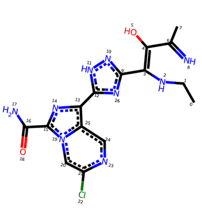 CCN/C(=C(/O)C(C)=N)c1n[nH]c(-c2nc(C(N)=O)n3cc(Cl)ncc23)n1